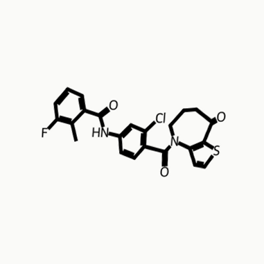 Cc1c(F)cccc1C(=O)Nc1ccc(C(=O)N2CCCC(=O)c3sccc32)c(Cl)c1